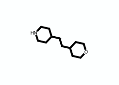 [CH](CC1CCOCC1)C1CCNCC1